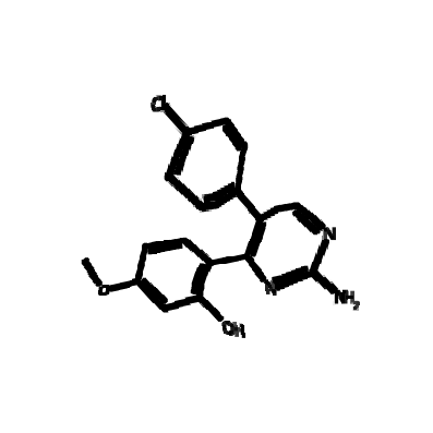 COc1ccc(-c2nc(N)ncc2-c2ccc(Cl)cc2)c(O)c1